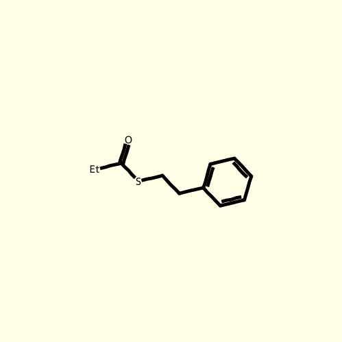 CCC(=O)SCCc1ccccc1